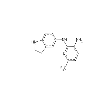 Nc1ccc(C(F)(F)F)nc1Nc1ccc2c(c1)CCN2